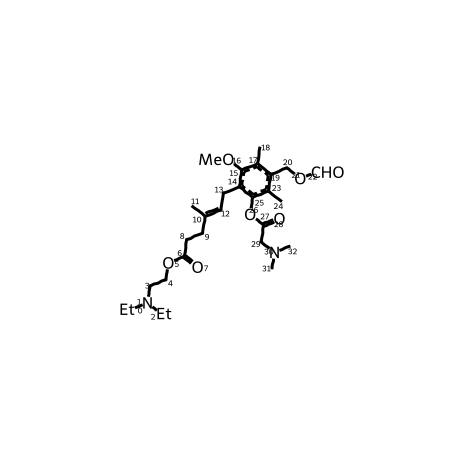 CCN(CC)CCOC(=O)CC/C(C)=C/Cc1c(OC)c(C)c(COC=O)c(C)c1OC(=O)CN(C)C